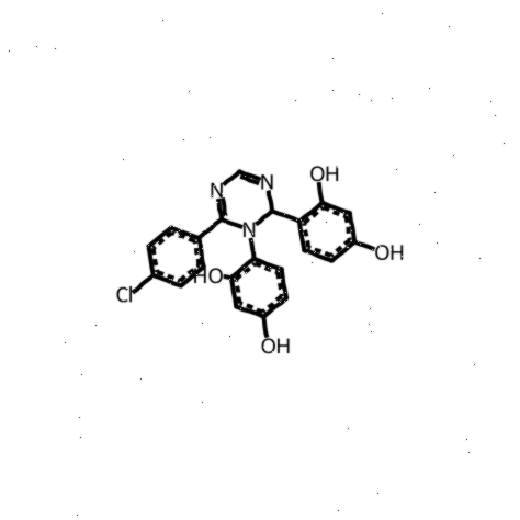 Oc1ccc(C2N=CN=C(c3ccc(Cl)cc3)N2c2ccc(O)cc2O)c(O)c1